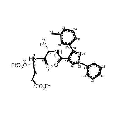 CCOC(=O)CC[C@@H](NC(=O)[C@@H](NC(=O)c1cn(-c2ccccc2)nc1-c1cccc(C)c1)C(C)C)C(=O)OCC